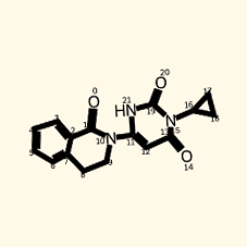 O=C1c2ccccc2CCN1c1cc(=O)n(C2CC2)c(=O)[nH]1